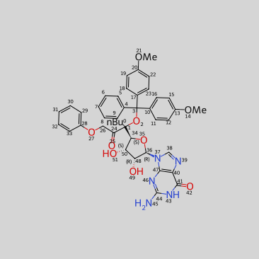 CCCCC(OC(c1ccccc1)(c1ccc(OC)cc1)c1ccc(OC)cc1)(C(=O)COc1ccccc1)[C@H]1O[C@@H](n2cnc3c(=O)[nH]c(N)nc32)[C@H](O)[C@@H]1O